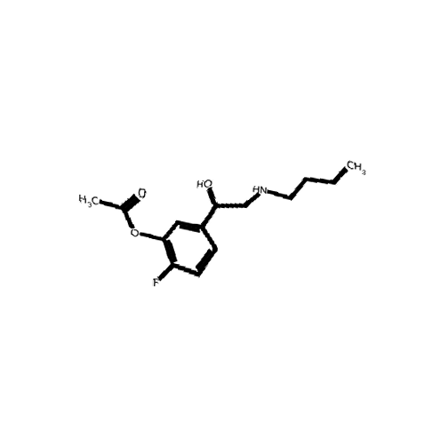 CCCCNCC(O)c1ccc(F)c(OC(C)=O)c1